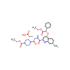 CCOC(=O)C(Oc1cc(C(=O)N[C@@H](CCC(=O)O)C(=O)N2CCN(C(=O)OCC)CC2)nc2cc(C)ccc12)c1ccccc1